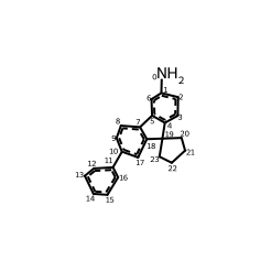 Nc1ccc2c(c1)-c1ccc(-c3ccccc3)cc1C21CCCC1